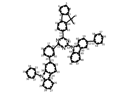 CC1(C)c2ccccc2-c2ccc(-c3nc(-c4cccc(-c5ccc6c7ccccc7n(-c7ccccc7)c6c5)c4)nc(-n4c5ccccc5c5cc(-c6ccccc6)ccc54)n3)cc21